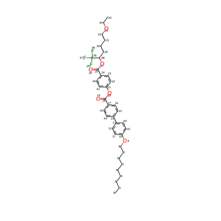 CCCCCCCCCOc1ccc(-c2ccc(C(=O)Oc3ccc(C(=O)OC(CCCCOCC)C(F)(F)F)cc3)cc2)cc1